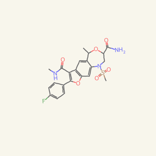 CNC(=O)c1c(-c2ccc(F)cc2)oc2cc3c(cc12)C(C)OC(C(N)=O)CN3S(C)(=O)=O